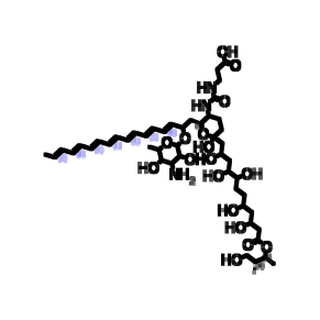 C/C=C/C=C/C=C/C=C/C=C/C=C/C=C/C(C[C@@H]1OC(O)(CC(O)CC(O)C(O)CCC(O)CC(O)CC(=O)O[C@@H](C)[C@H](C)CO)CCC1NC(=O)NCCC(=O)O)OC1OC(C)C(O)C(N)C1O